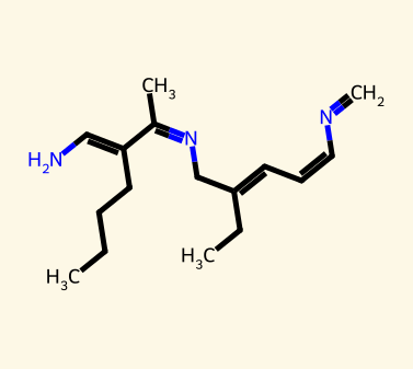 C=N/C=C\C=C(/CC)C/N=C(C)\C(=C\N)CCCC